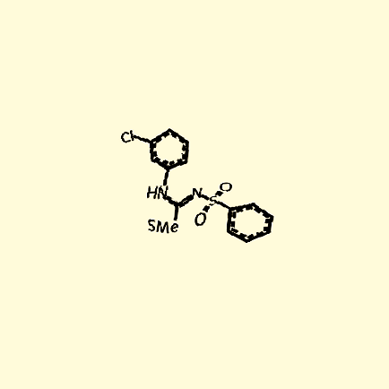 CS/C(=N\S(=O)(=O)c1ccccc1)Nc1cccc(Cl)c1